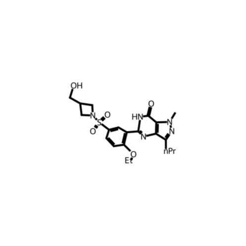 CCCc1nn(C)c2c(=O)[nH]c(-c3cc(S(=O)(=O)N4CC(CO)C4)ccc3OCC)nc12